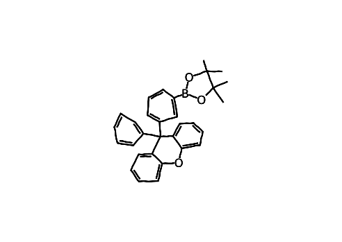 CC1(C)OB(c2cccc(C3(c4ccccc4)c4ccccc4Oc4ccccc43)c2)OC1(C)C